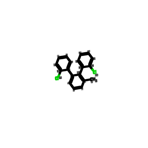 Cc1cccc(-c2ccccc2Cl)c1-c1ccccc1Cl